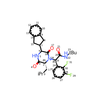 CC(C)C[C@@H]1C(=O)NC(C2Cc3ccccc3C2)C(=O)N1[C@@H](C(=O)NC(C)(C)C)c1cccc(F)c1F